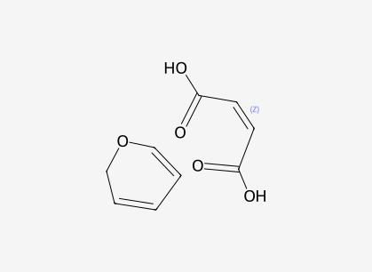 C1=CCOC=C1.O=C(O)/C=C\C(=O)O